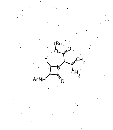 C=C(C)C(C(=O)OC(C)(C)C)N1C(=O)C(NC(C)=O)C1F